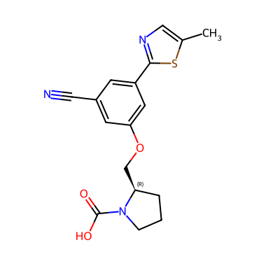 Cc1cnc(-c2cc(C#N)cc(OC[C@H]3CCCN3C(=O)O)c2)s1